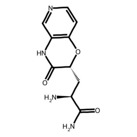 NC(=O)[C@@H](N)C[C@H]1Oc2ccncc2NC1=O